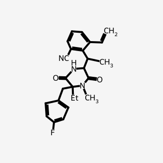 C=Cc1cccc(C#N)c1C(C)C1NC(=O)C(CC)(Cc2ccc(F)cc2)N(C)C1=O